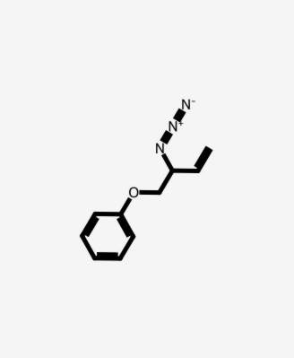 C=CC(COc1ccccc1)N=[N+]=[N-]